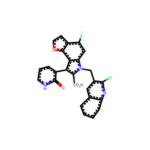 O=C(O)c1c(-c2ccc[nH]c2=O)c2c3occc3c(F)cc2n1Cc1cc2ccccc2nc1Cl